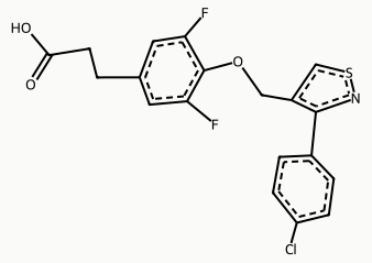 O=C(O)CCc1cc(F)c(OCc2csnc2-c2ccc(Cl)cc2)c(F)c1